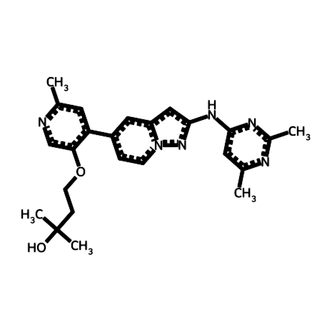 Cc1cc(-c2ccn3nc(Nc4cc(C)nc(C)n4)cc3c2)c(OCCC(C)(C)O)cn1